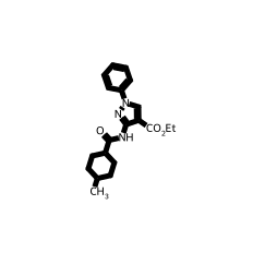 CCOC(=O)c1cn(-c2ccccc2)nc1NC(=O)C1CCC(C)CC1